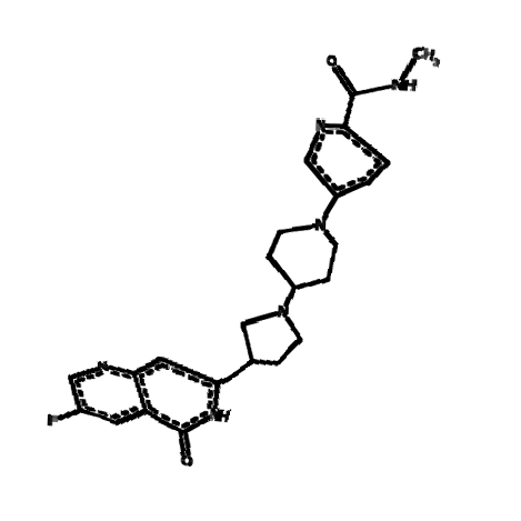 CNC(=O)c1ccc(N2CCC(N3CCC(c4cc5ncc(F)cc5c(=O)[nH]4)C3)CC2)cn1